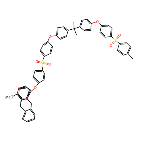 COc1ccc(Oc2ccc(S(=O)(=O)c3ccc(Oc4ccc(C(C)(C)c5ccc(Oc6ccc(S(=O)(=O)c7ccc(C)cc7)cc6)cc5)cc4)cc3)cc2)c2c1C1c3ccccc3C2c2ccccc21